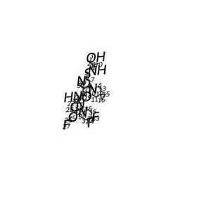 C[C@H](CO)NSc1cc(N2CCC3(CC2)CC3)c(C(=O)Nc2ccc(OCF)c(N3CCC(F)(F)CC3)n2)cn1